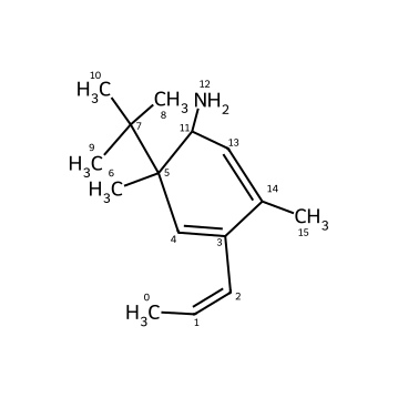 C/C=C\C1=CC(C)(C(C)(C)C)C(N)C=C1C